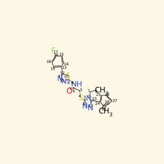 CCn1c(SCC(=O)Nc2nnc(-c3ccc(F)cc3)s2)nnc1-c1ccccc1C